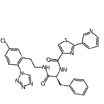 O=C(N[C@@H](Cc1ccccc1)C(=O)NCCc1cc(Cl)ccc1-n1cnnn1)c1csc(-c2cccnc2)n1